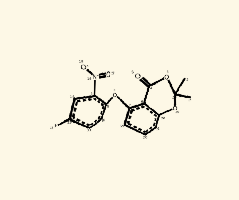 CC1(C)OC(=O)c2c(Oc3ccc(F)cc3[N+](=O)[O-])cccc2O1